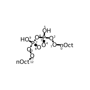 CCCCCCCCOOP(=O)(O)OP(=O)(O)OOCCCCCCCC